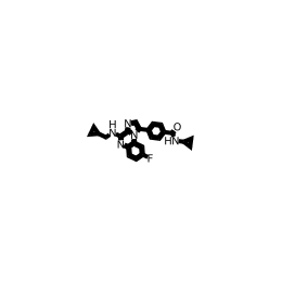 O=C(NC1CC1)c1ccc(-c2cnc3c(NCC4CC4)nc4ccc(F)cc4n23)cc1